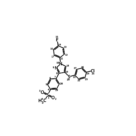 CS(=O)(=O)c1ccc(-c2nn(-c3ccc(F)cc3)cc2Sc2ccc(Cl)cc2)cc1